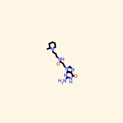 CC1CCCCN1CCCNC(=O)CCn1cnc2c(=O)[nH]c(N)nc21